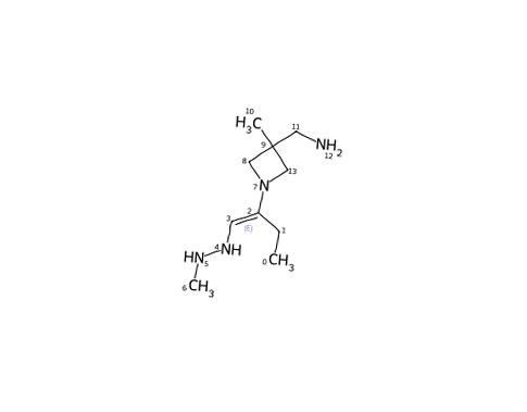 CC/C(=C\NNC)N1CC(C)(CN)C1